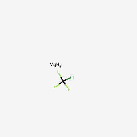 FC(F)(F)Cl.[MgH2]